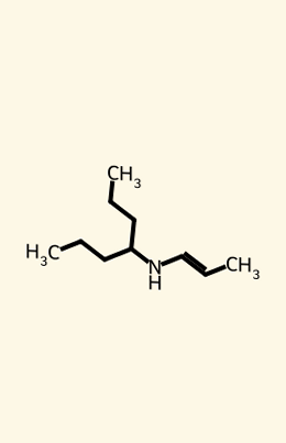 CC=CNC(CCC)CCC